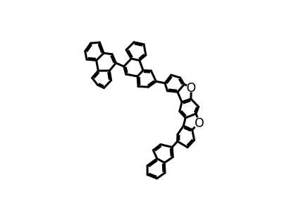 c1ccc2cc(-c3ccc4oc5cc6oc7ccc(-c8ccc9cc(-c%10cc%11ccccc%11c%11ccccc%10%11)c%10ccccc%10c9c8)cc7c6cc5c4c3)ccc2c1